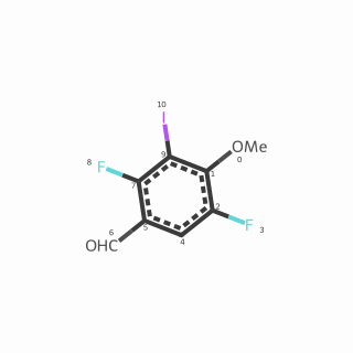 COc1c(F)cc(C=O)c(F)c1I